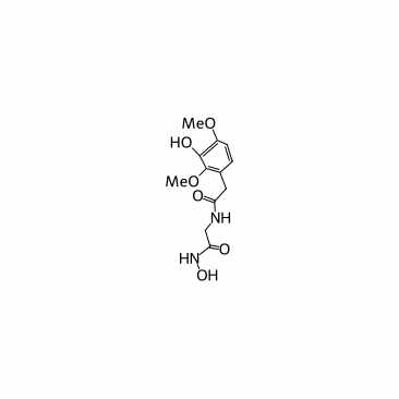 COc1ccc(CC(=O)NCC(=O)NO)c(OC)c1O